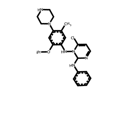 Cc1cc(NN2C(Cl)=CC=NC2Nc2ccccc2)c(OC(C)C)cc1N1CCNCC1